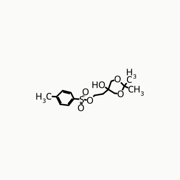 Cc1ccc(S(=O)(=O)OCCC2(O)COC(C)(C)OC2)cc1